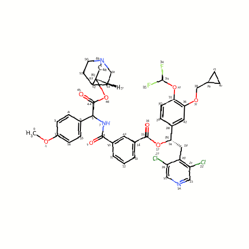 COc1ccc(C(NC(=O)c2cccc(C(=O)O[C@@H](Cc3c(Cl)cncc3Cl)c3ccc(OC(F)F)c(OCC4CC4)c3)c2)C(=O)O[C@H]2CN3CCC2CC3)cc1